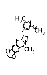 COc1cc(C[C@@H]2CCN([C@@H](C)c3cc4c(cc3F)OCCO4)C2)cc(C)n1